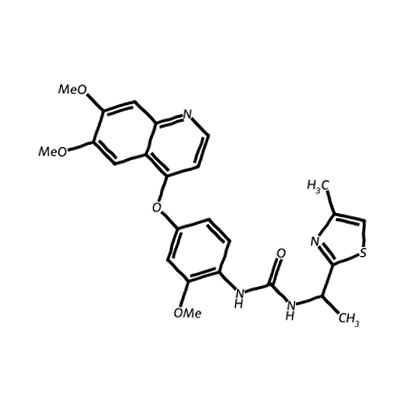 COc1cc(Oc2ccnc3cc(OC)c(OC)cc23)ccc1NC(=O)NC(C)c1nc(C)cs1